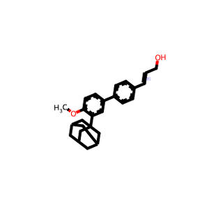 COc1ccc(-c2ccc(/C=C/CO)cc2)cc1C12CC3CC(CC(C3)C1)C2